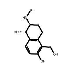 CC(C)N[C@H]1CCc2c(ccc(O)c2CO)[C@@H]1O